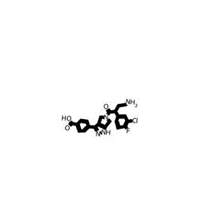 NCCC(C(=O)N1Cc2[nH]nc(-c3ccc(C(=O)O)cc3)c2C1)c1ccc(F)c(Cl)c1